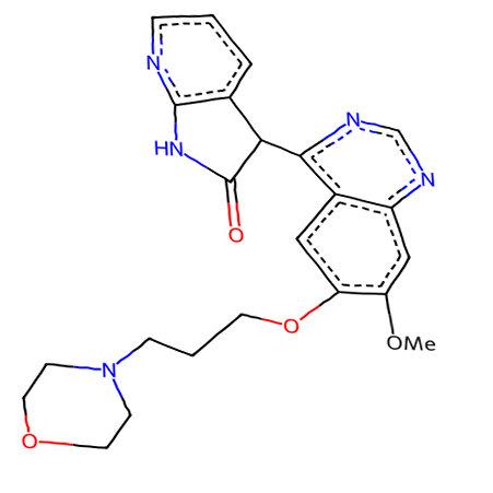 COc1cc2ncnc(C3C(=O)Nc4ncccc43)c2cc1OCCCN1CCOCC1